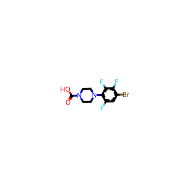 O=C(O)N1CCN(c2c(F)cc(Br)c(F)c2F)CC1